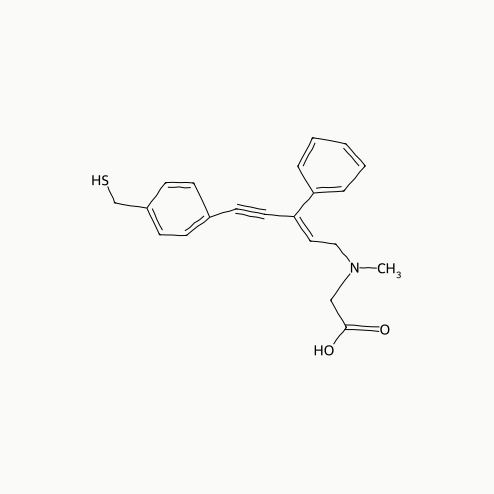 CN(CC=C(C#Cc1ccc(CS)cc1)c1ccccc1)CC(=O)O